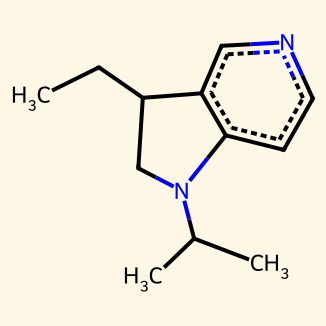 CCC1CN(C(C)C)c2ccncc21